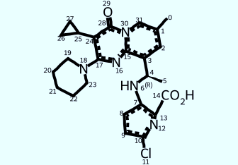 Cc1cc([C@@H](C)Nc2ccc(Cl)nc2C(=O)O)c2nc(N3CCCCC3)c(C3CC3)c(=O)n2c1